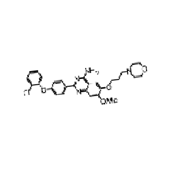 COc1cc2nc(-c3ccc(Oc4ccccc4Cl)cc3)nc(N)c2cc1OCCCN1CCOCC1